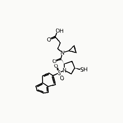 O=C(O)CCN(C(=O)[C@@H]1C[C@@H](S)CN1S(=O)(=O)c1ccc2ccccc2c1)C1CC1